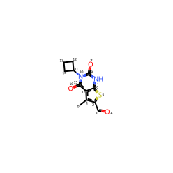 Cc1c(C=O)sc2[nH]c(=O)n(C3CCC3)c(=O)c12